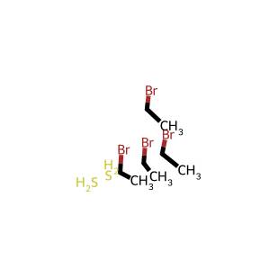 CCBr.CCBr.CCBr.CCBr.S.S